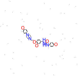 COc1ccc(NC(=O)NCc2ccc(OCCN3CCN(c4ccc(OC)cc4)CC3)c(OC)c2)cc1